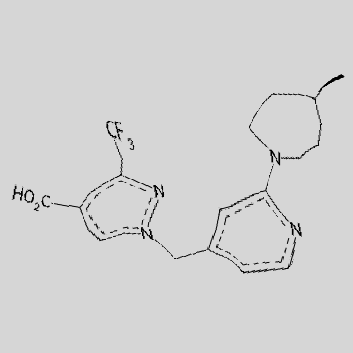 C[C@@H]1CCN(c2cc(Cn3cc(C(=O)O)c(C(F)(F)F)n3)ccn2)C1